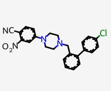 N#Cc1ccc(N2CCN(Cc3ccccc3-c3ccc(Cl)cc3)CC2)cc1[N+](=O)[O-]